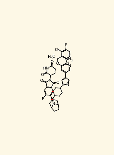 C[C@@H](Oc1cc(-c2cnn(C3CCC(CN4C5CCC4CN(c4cc6c(cc4F)C(=O)N(C4CCC(=O)NC4=O)C6=O)C5)CC3)c2)cnc1N)c1c(Cl)ccc(F)c1Cl